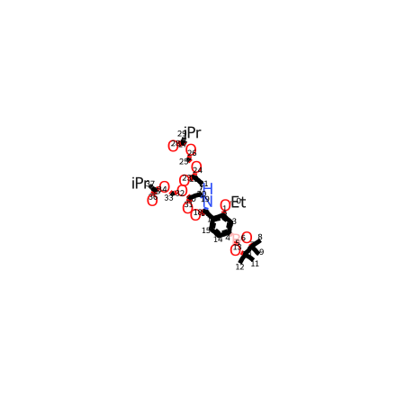 CCOc1cc(B2OC(C)(C)C(C)(C)O2)ccc1C(=O)N[C@@H](CC(=O)OCOC(=O)C(C)C)C(=O)OCOC(=O)C(C)C